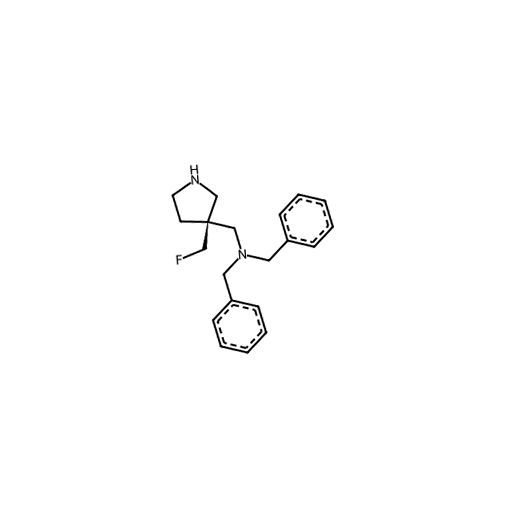 FC[C@@]1(CN(Cc2ccccc2)Cc2ccccc2)CCNC1